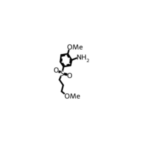 COCCCS(=O)(=O)c1ccc(OC)c(N)c1